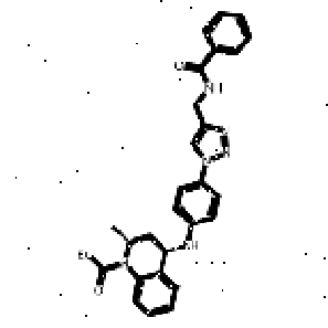 CCC(=O)N1c2ccccc2[C@H](Nc2ccc(-n3cc(CNC(=O)c4ccccc4)nn3)cc2)C[C@@H]1C